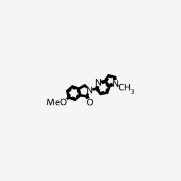 COc1ccc2c(c1)C(=O)N(c1ccc3c(ccn3C)n1)C2